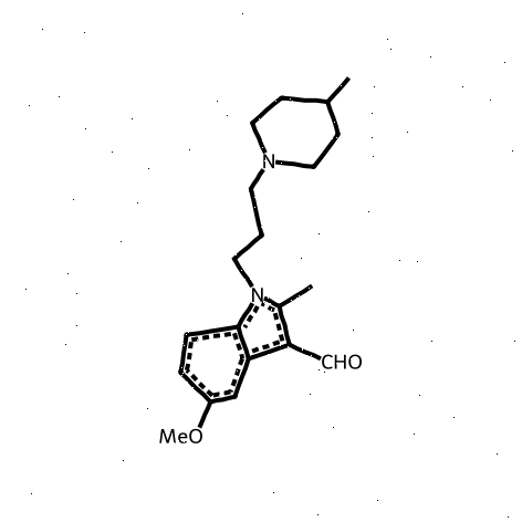 COc1ccc2c(c1)c(C=O)c(C)n2CCCN1CCC(C)CC1